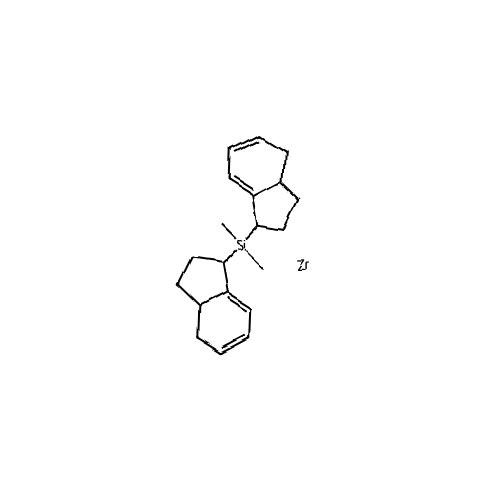 C[Si](C)(C1CCC2CC=CC=C21)C1CCC2CC=CC=C21.[Zr]